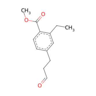 CCc1cc(CCC=O)ccc1C(=O)OC